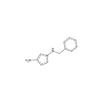 Nc1ccn(NCc2ccccc2)c1